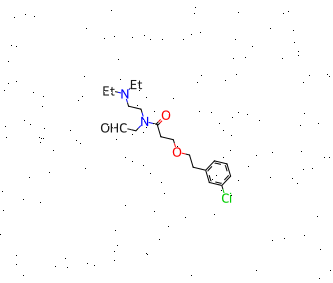 CCN(CC)CCN(CC=O)C(=O)CCOCCc1cccc(Cl)c1